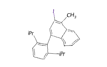 Cc1c(I)cc(-c2c(C(C)C)cccc2C(C)C)c2ccccc12